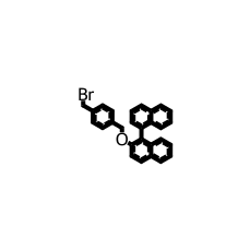 BrCc1ccc(COc2ccc3ccccc3c2-c2cccc3ccccc23)cc1